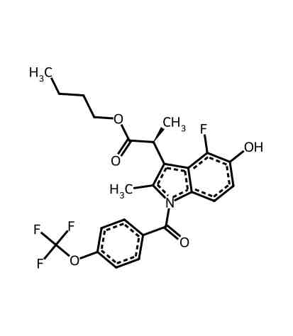 CCCCOC(=O)[C@@H](C)c1c(C)n(C(=O)c2ccc(OC(F)(F)F)cc2)c2ccc(O)c(F)c12